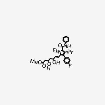 CCn1c(/C=C/[C@H](O)C[C@@H](O)CC(=O)OC)c(-c2ccc(F)cc2)c(C(C)C)c1C(=O)Nc1ccccc1